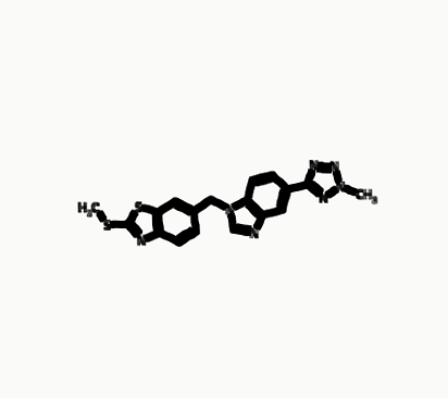 CSc1nc2ccc(Cn3cnc4cc(-c5nnn(C)n5)ccc43)cc2s1